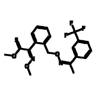 CON=C(C(=S)OC)c1ccccc1CON=C(C)c1cccc(C(F)(F)F)c1